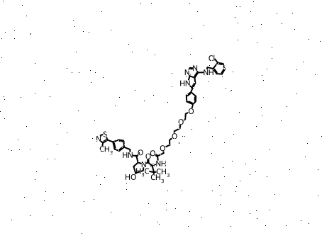 Cc1ncsc1-c1ccc(CNC(=O)C2CC(O)CN2C(=O)[C@@H](NC(=O)COCCOCCOCCOc2ccc(-c3cc4c(NCc5ccccc5Cl)ncnc4[nH]3)cc2)C(C)(C)C)cc1